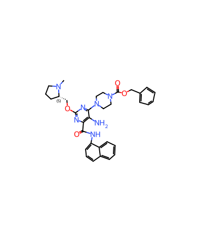 CN1CCC[C@H]1COc1nc(C(=O)Nc2cccc3ccccc23)c(N)c(N2CCN(C(=O)OCc3ccccc3)CC2)n1